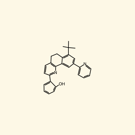 CC(C)(C)c1cc(-c2ccccn2)cc2c1CCc1ccc(-c3ccccc3O)nc1-2